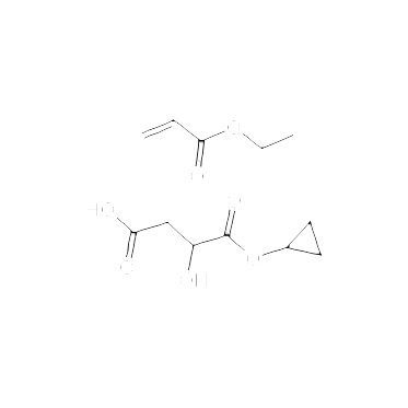 C=CC(=O)OCC.O=C(O)CC(O)C(=O)OC1CC1